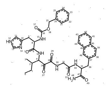 CCC(C)C(NC(=O)C(Cc1c[nH]cn1)NC(=O)OCc1ccccc1)C(=O)C(=O)NCC(=O)NC(Cc1ccc2ccccc2c1)C(N)=O